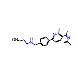 C=C(C)/N=C(/C)c1ccc(-c2ccc(CNCCCN=O)cc2)nc1C